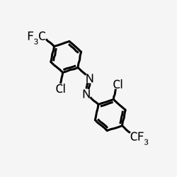 FC(F)(F)c1ccc(N=Nc2ccc(C(F)(F)F)cc2Cl)c(Cl)c1